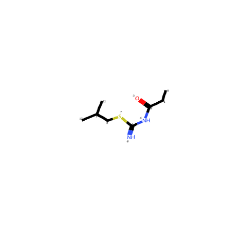 CCC(=O)NC(=N)SCC(C)C